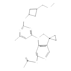 COCC1CC(Oc2nc(C)cc(N3CC4(CC4)c4cnc(NC(C)=O)cc43)n2)C1